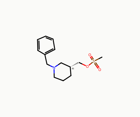 CS(=O)(=O)OC[C@@H]1CCCN(Cc2ccccc2)C1